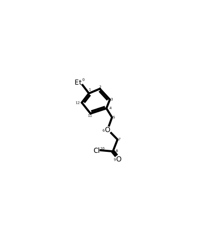 CCc1ccc(COCC(=O)Cl)cc1